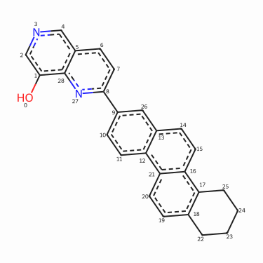 Oc1cncc2ccc(-c3ccc4c(ccc5c6c(ccc54)CCCC6)c3)nc12